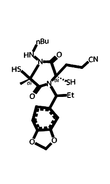 CCCCNN1C(=O)[C@@](S)(CCC#N)N(C(CC)c2ccc3c(c2)OCO3)C(=O)[C@]1(C)S